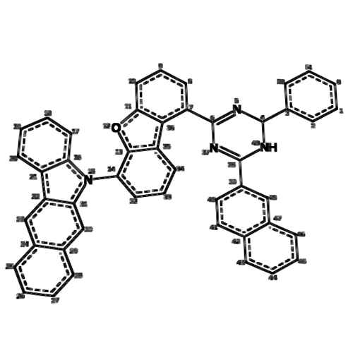 c1ccc(C2N=C(c3cccc4oc5c(-n6c7ccccc7c7cc8ccccc8cc76)cccc5c34)N=C(c3ccc4ccccc4c3)N2)cc1